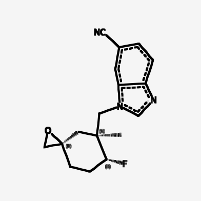 C[C@@]1(Cn2cnc3ccc(C#N)cc32)C[C@]2(CC[C@H]1F)CO2